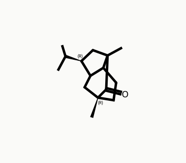 CC(C)[C@H]1CC2(C)C(=O)[C@]3(C)CCC2C1C3